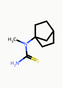 CN(C(N)=S)C12CCC(CC1)C2